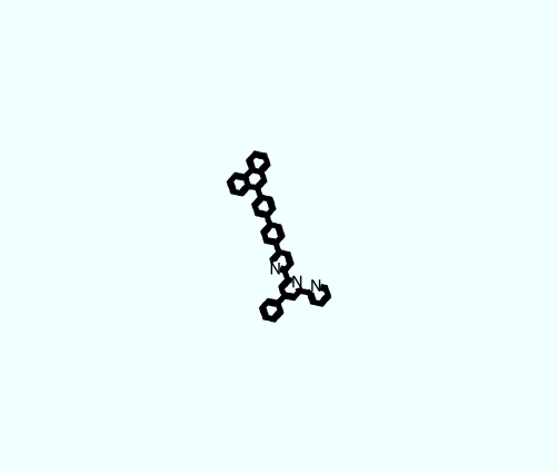 c1ccc(-c2cc(-c3ccccn3)nc(-c3ccc(-c4ccc(-c5ccc(-c6cc7ccccc7c7ccccc67)cc5)cc4)cn3)c2)cc1